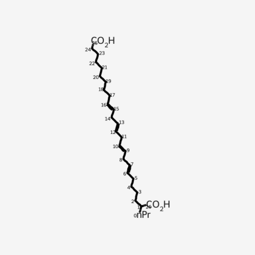 CCCC(CCCCC=CCC=CCC=CCC=CCCCCCCCCC(=O)O)C(=O)O